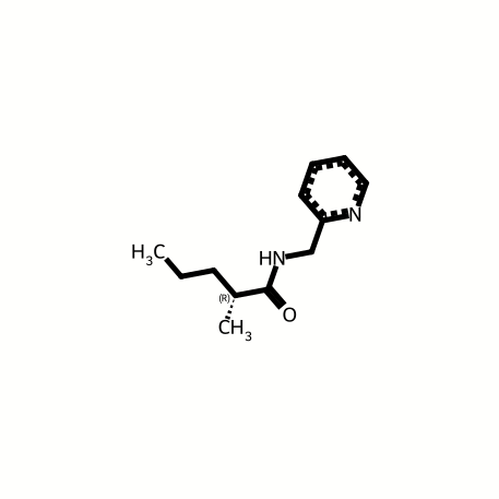 CCC[C@@H](C)C(=O)NCc1ccccn1